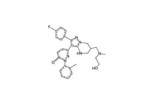 Cc1ccccc1-n1nc(-c2c(-c3ccc(F)cc3)nn3c2NCC(CN(C)CCO)C3)ccc1=O